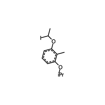 Cc1c(OC(C)C)cccc1OC(C)I